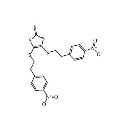 O=[N+]([O-])c1ccc(CCSc2sc(=S)sc2SCCc2ccc([N+](=O)[O-])cc2)cc1